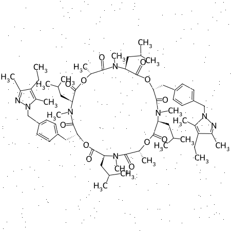 CCc1c(C)nn(Cc2ccc(C[C@H]3OC(=O)[C@H](CC(C)C)N(C)C(=O)[C@@H](C)OC(=O)[C@H](CC(C)C)N(C)C(=O)[C@@H](Cc4ccc(Cn5nc(C)c(CC)c5C)cc4)OC(=O)[C@H](CC(C)C)N(C)C(=O)[C@@H](C)OC(=O)[C@H](CC(C)C)N(C)C3=O)cc2)c1C